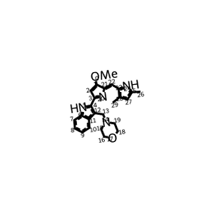 COC1=CC(c2[nH]c3ccccc3c2CN2CCOCC2)=NC1=Cc1[nH]c(C)cc1C